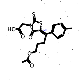 CC(=O)OCCC/C(=C1/SC(=S)N(CC(=O)O)C1=O)c1ccc(C)cc1